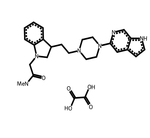 CNC(=O)CN1CC(CCN2CCN(c3cc4cc[nH]c4cn3)CC2)c2ccccc21.O=C(O)C(=O)O